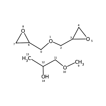 C(OCC1CO1)C1CO1.COCC(C)O